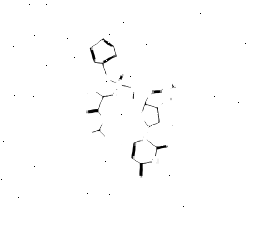 C=C1C=CN([C@@H]2O[C@@](COP(=O)(NC(C)C(=O)OC(C)C)Oc3ccccc3)(N=[N+]=[N-])[C@@H](O)[C@@H]2F)C(=O)N1